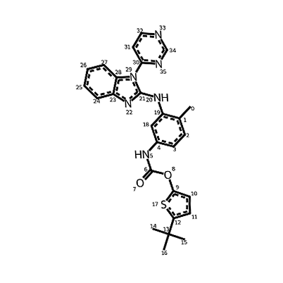 Cc1ccc(NC(=O)Oc2ccc(C(C)(C)C)s2)cc1Nc1nc2ccccc2n1-c1ccncn1